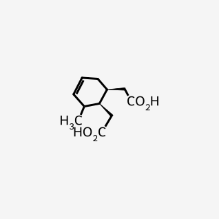 CC1C=CC[C@@H](CC(=O)O)[C@H]1CC(=O)O